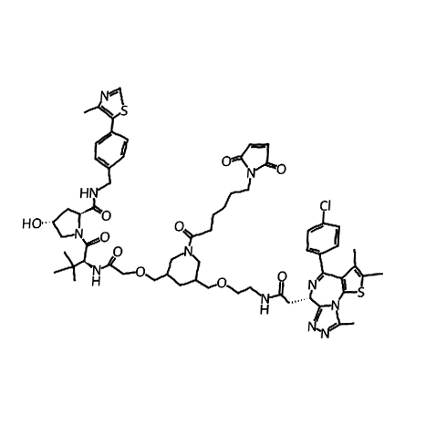 Cc1ncsc1-c1ccc(CNC(=O)[C@@H]2C[C@@H](O)CN2C(=O)[C@@H](NC(=O)COCC2CC(COCCNC(=O)C[C@@H]3N=C(c4ccc(Cl)cc4)c4c(sc(C)c4C)-n4c(C)nnc43)CN(C(=O)CCCCCN3C(=O)C=CC3=O)C2)C(C)(C)C)cc1